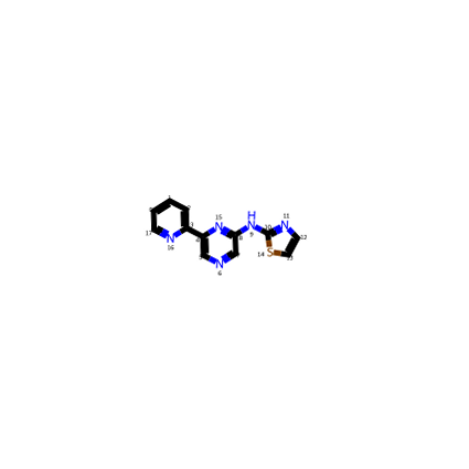 c1ccc(-c2cncc(Nc3nccs3)n2)nc1